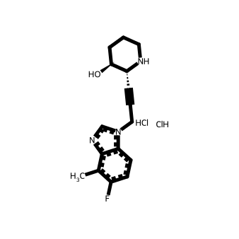 Cc1c(F)ccc2c1ncn2CC#C[C@H]1NCCC[C@@H]1O.Cl.Cl